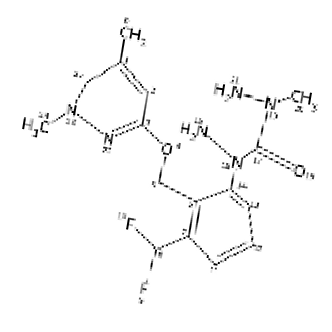 CC1=CC(OCc2c(C(F)F)cccc2N(N)C(=O)N(C)N)=NN(C)C1